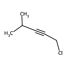 CC(C)C#CCCl